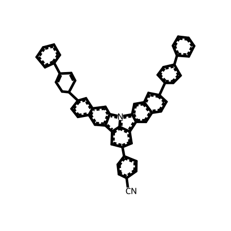 N#Cc1ccc(-c2cc3c4cc5ccc(-c6ccc(-c7ccccc7)cc6)cc5cc4n4c5cc6cc(C7C=CC(c8ccccc8)=CC7)ccc6cc5c(c2)c34)cc1